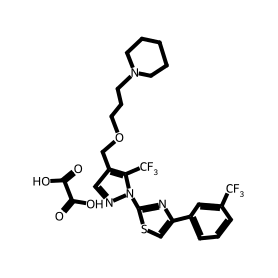 FC(F)(F)c1cccc(-c2csc(-n3ncc(COCCCN4CCCCC4)c3C(F)(F)F)n2)c1.O=C(O)C(=O)O